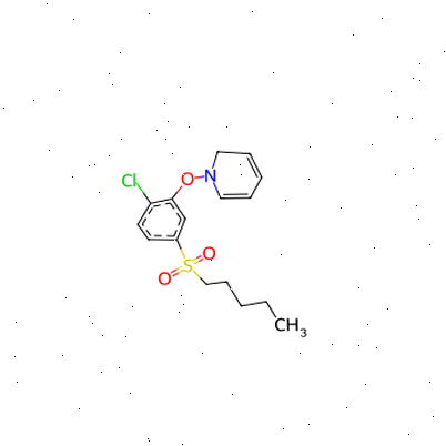 CCCCCS(=O)(=O)c1ccc(Cl)c(ON2C=CC=CC2)c1